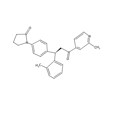 Cc1cc(C(=O)C[C@H](c2ccc(N3CCCC3=O)cc2)c2ccccc2C)ccn1